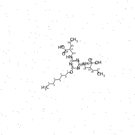 CCCCCCCCOc1nc(NCC(CCC)C(=O)O)nc(NCC(CCC)C(=O)O)n1